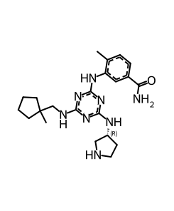 Cc1ccc(C(N)=O)cc1Nc1nc(NCC2(C)CCCC2)nc(N[C@@H]2CCNC2)n1